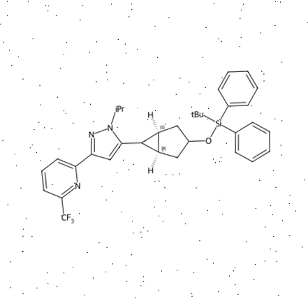 CC(C)n1nc(-c2cccc(C(F)(F)F)n2)cc1C1[C@H]2CC(O[Si](c3ccccc3)(c3ccccc3)C(C)(C)C)C[C@@H]12